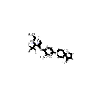 C=C/N=C(\C(=C/C)Sc1ncc(N2CCC3(CC2)OCCC3N)nc1N)C(F)(F)F